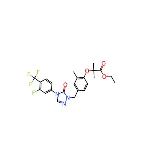 CCOC(=O)C(C)(C)Oc1ccc(Cn2ncn(-c3ccc(C(F)(F)F)c(F)c3)c2=O)cc1C